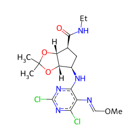 CCNC(=O)[C@H]1C[C@@H](Nc2nc(Cl)nc(Cl)c2N=COC)[C@@H]2OC(C)(C)O[C@@H]21